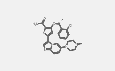 C[C@@H](Oc1cc(-c2cnc3ccc(N4CCN(C)CC4)cn23)sc1C(N)=O)c1ccccc1Cl